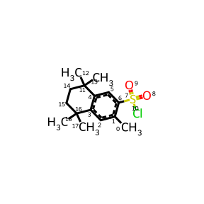 Cc1cc2c(cc1S(=O)(=O)Cl)C(C)(C)CCC2(C)C